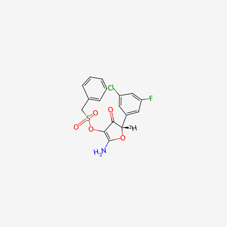 [2H][C@@]1(c2cc(F)cc(Cl)c2)OC(N)=C(OS(=O)(=O)Cc2ccccc2)C1=O